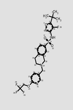 CC(C)(C)c1onc(NS(=O)(=O)c2ccc3c(c2)CN(Cc2ccc(OCC(F)(F)F)nc2)CC3)c1F